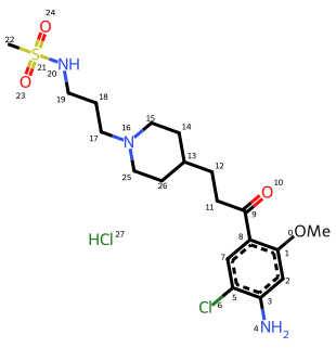 COc1cc(N)c(Cl)cc1C(=O)CCC1CCN(CCCNS(C)(=O)=O)CC1.Cl